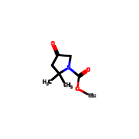 CC(C)(C)OC(=O)N1CC(=O)CC1(C)C